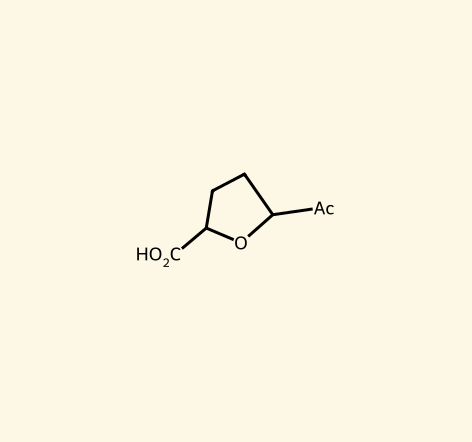 CC(=O)C1CCC(C(=O)O)O1